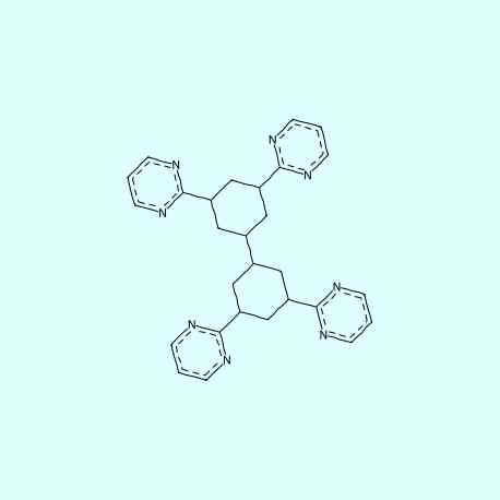 c1cnc(C2CC(c3ncccn3)CC(C3CC(c4ncccn4)CC(c4ncccn4)C3)C2)nc1